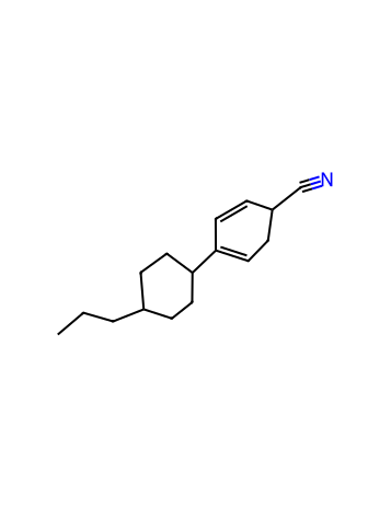 CCCC1CCC(C2=CCC(C#N)C=C2)CC1